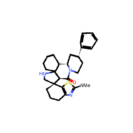 CNc1nc2c(s1)[C@]1(CCC2)CNC[C@H]1C(=O)N1CC[C@@H](c2ccccc2)C[C@H]1C1CCCCC1